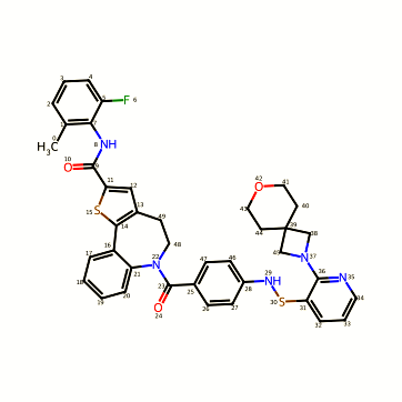 Cc1cccc(F)c1NC(=O)c1cc2c(s1)-c1ccccc1N(C(=O)c1ccc(NSc3cccnc3N3CC4(CCOCC4)C3)cc1)CC2